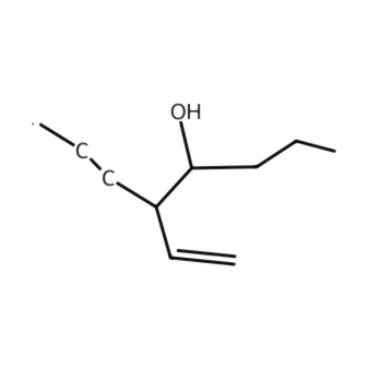 [CH2]CCC(C=C)C(O)CCC